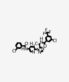 C[C@H](NC(=O)c1cc(Cl)cc(C(F)(F)F)c1)c1ncnn1-c1ccc(NC(=O)c2cccc(Cl)c2)cn1